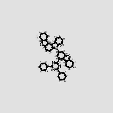 c1ccc(-c2nc(-c3ccccc3)nc(-c3cc(-n4c5ccccc5c5c6c(ccc54)oc4ccccc46)cc4sc5ccccc5c34)n2)cc1